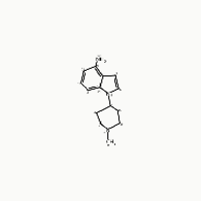 CN1CCC(n2ccc3c(N)cccc32)CC1